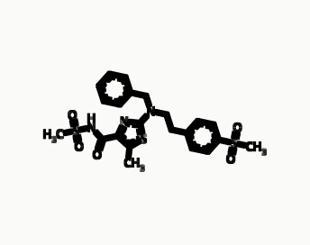 Cc1sc(N(CCc2ccc(S(C)(=O)=O)cc2)Cc2ccccc2)nc1C(=O)NS(C)(=O)=O